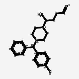 NC(CCC=O)N1CCN(C(c2ccccc2)c2ccc(Cl)cc2)CC1